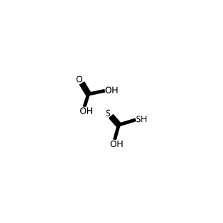 O=C(O)O.OC(=S)S